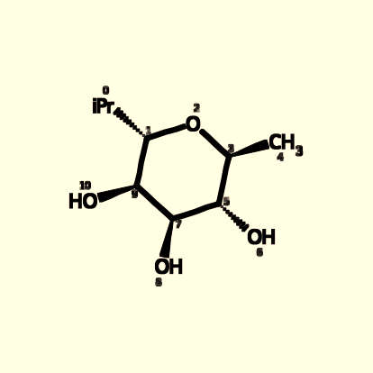 CC(C)[C@@H]1O[C@@H](C)[C@H](O)[C@@H](O)[C@H]1O